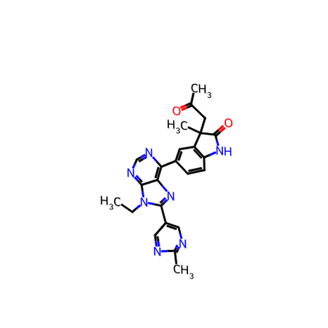 CCn1c(-c2cnc(C)nc2)nc2c(-c3ccc4c(c3)C(C)(CC(C)=O)C(=O)N4)ncnc21